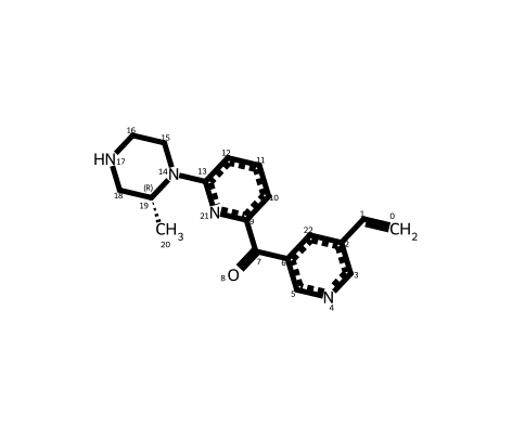 C=Cc1cncc(C(=O)c2cccc(N3CCNC[C@H]3C)n2)c1